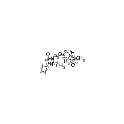 CCc1nc(-c2ccccc2)cc(=O)n1CCOc1ccc(NC(C)(C)C=O)cc1